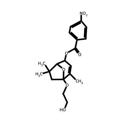 CC1=CC(OC(=O)c2ccc([N+](=O)[O-])cc2)C2OC1(OCCO)CC2(C)C